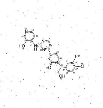 O=c1cc(-c2ccnc(Nc3ccncc3O)n2)ccn1C(CO)c1ccc(Cl)c(F)c1